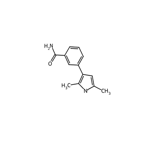 CC1=CC(c2cccc(C(N)=O)c2)=C(C)[N]1